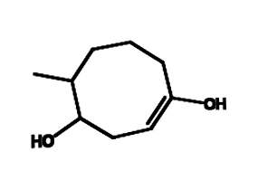 CC1CCCC(O)=CCC1O